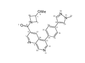 COC1CN(C(=O)c2cnc3cncc(-c4ccc(-c5cnn(C)c5)cc4)c3c2)C1